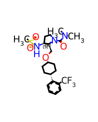 CN(C)C(=O)N1CC[C@H](NS(C)(=O)=O)[C@@H]1CO[C@H]1CC[C@@H](c2ccccc2C(F)(F)F)CC1